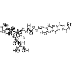 CC/C=C\C/C=C\C/C=C\C/C=C\C/C=C\C/C=C\CCC(=O)NCCSSC(C)(C)[C@@H](COC(=O)NC(CO)CO)NC(=O)c1cccnc1